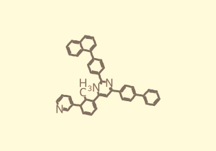 CC1C(c2cc(-c3ccc(-c4ccccc4)cc3)nc(-c3ccc(-c4cccc5ccccc45)cc3)n2)=CC=CC1c1cccnc1